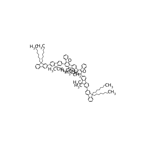 CCCCCCCCC1(CCCCCCCC)c2ccccc2-c2ccc(-c3ccc4c(c3)C(C)(C)c3cc(-c5cc6c(c7c5oc5ccccc57)-c5ccc7c(c5[Si]6(C)C)[Si](C)(C)c5cc(-c6ccc8c(c6)C(C)(C)c6cc(-c9ccc%10c(c9)C(CCCCCCCC)(CCCCCCCC)c9ccccc9-%10)ccc6-8)c6c(oc8ccccc86)c5-7)ccc3-4)cc21